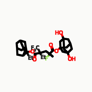 CCC1(OC(=O)C(CC)(CC(C)(F)C(=O)OC23CC4CC(O)(CC(O)(C4)C2)C3)C(F)(F)F)C2CC3CC(C2)CC1C3